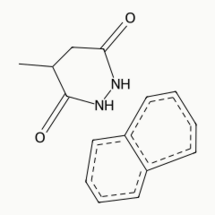 CC1CC(=O)NNC1=O.c1ccc2ccccc2c1